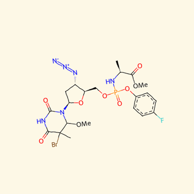 COC(=O)[C@H](C)NP(=O)(OC[C@H]1O[C@@H](N2C(=O)NC(=O)C(C)(Br)C2OC)C[C@@H]1N=[N+]=[N-])Oc1ccc(F)cc1